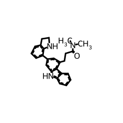 CN(C)C(=O)CCc1cc(-c2cccc3c2NCC3)cc2[nH]c3ccccc3c12